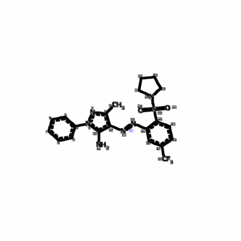 Cc1nn(-c2ccccc2)c(N)c1/N=N/c1cc(C(F)(F)F)ccc1S(=O)(=O)N1CCCC1